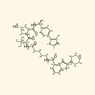 Cc1ncsc1-c1ccc([C@H](C)NC(=O)C2C[C@@H](O)CN2C(=O)[C@@H](NC(=O)CCCCNC(=O)c2cccc3sc(N4CCOCC4)nc23)C(C)(C)C)cc1